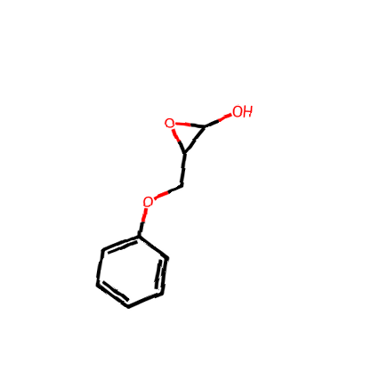 OC1OC1COc1ccccc1